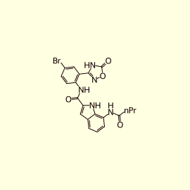 CCCC(=O)Nc1cccc2cc(C(=O)Nc3ccc(Br)cc3-c3noc(=O)[nH]3)[nH]c12